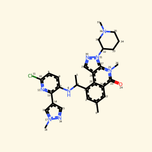 Cc1cc(C(C)Nc2ccc(Cl)nc2-c2cnn(C)c2)c2c(c1)c(=O)n(C)c1c2cnn1C1CCCN(C)C1